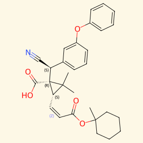 CC1(OC(=O)/C=C\[C@H]2C(C)(C)[C@]2(C(=O)O)[C@@H](C#N)c2cccc(Oc3ccccc3)c2)CCCCC1